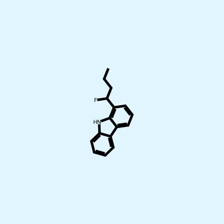 CCCC(F)c1cccc2c1[nH]c1ccccc12